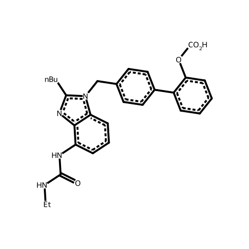 CCCCc1nc2c(NC(=O)NCC)cccc2n1Cc1ccc(-c2ccccc2OC(=O)O)cc1